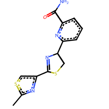 Cc1nc(C2=NC(c3cccc(C(N)=O)n3)CS2)cs1